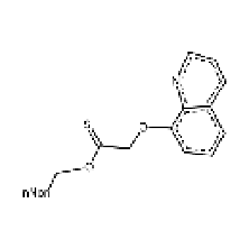 CCCCCCCCCCOC(=S)COc1cccc2cccnc12